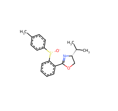 Cc1ccc([S@+]([O-])c2ccccc2C2=N[C@H](C(C)C)CO2)cc1